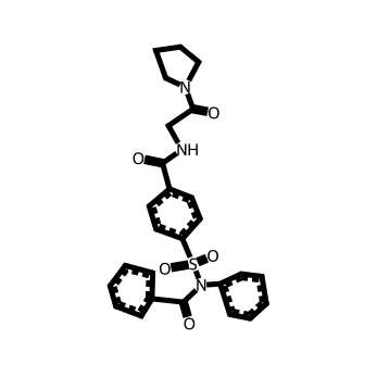 O=C(NCC(=O)N1CCCC1)c1ccc(S(=O)(=O)N(C(=O)c2ccccc2)c2ccccc2)cc1